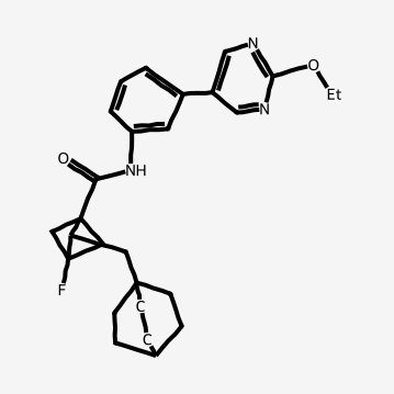 CCOc1ncc(-c2cccc(NC(=O)C34CC(F)(C3)C4CC34CCC(CC3)CC4)c2)cn1